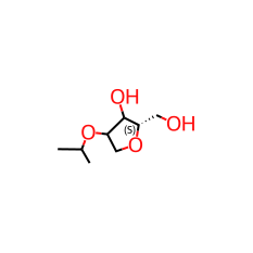 CC(C)OC1CO[C@@H](CO)C1O